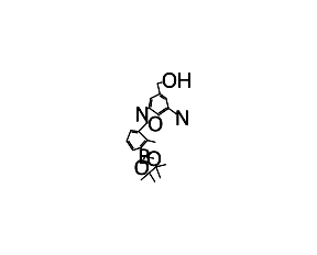 Cc1c(B2OC(C)(C)C(C)(C)O2)cccc1-c1nc2cc(CO)cc(C#N)c2o1